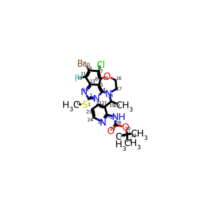 CSc1nc2c3c(c(Cl)c(Br)c(F)c3n1)OCCN2C(C)c1cccnc1NC(=O)OC(C)(C)C